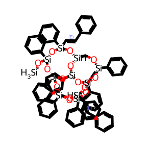 [SiH3]O[Si]1(c2ccccc2)O[Si](/C=C/c2ccccc2)(c2ccccc2)O[SiH]2CO[Si]3(c4ccccc4)O[SiH](c4ccccc4)O[Si]4(c5ccccc5)O[Si](/C=C/c5ccccc5)(c5ccccc5)O[Si](c5ccccc5)(O3)O[Si](c3ccccc3)(O2)O[Si](c2ccccc2)(O1)O4